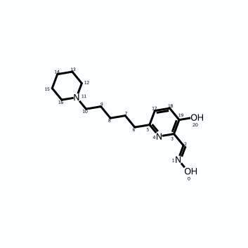 ON=Cc1nc(CCCCCN2CCCCC2)ccc1O